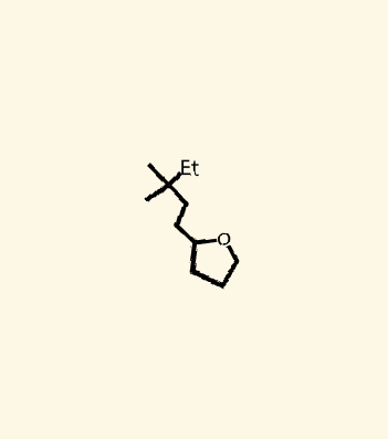 CCC(C)(C)CCC1CCCO1